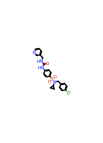 O=C(NCc1cccnc1)Nc1ccc(S(=O)(=O)N(Cc2ccc(Cl)cc2)C2CC2)cc1